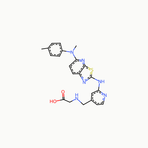 Cc1ccc(N(C)c2ccc3nc(Nc4cc(CNCC(=O)O)ccn4)sc3n2)cc1